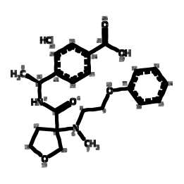 C[C@H](NC(=O)C1(N(C)CCOc2ccccc2)CCOC1)c1ccc(C(=O)O)cc1.Cl